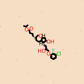 CC(C)OC(=O)CCC[C@H]1CC[C@@H]2[C@@H](/C=C/[C@@H](O)COc3cccc(Cl)c3F)[C@H](O)C[C@@H]2OC1